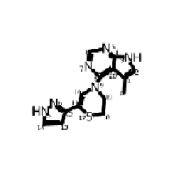 Cc1c[nH]c2ncnc(N3C=C(c4cc[nH]n4)SCC3)c12